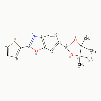 CC1(C)OB(c2ccc3nc(-c4cccs4)oc3c2)OC1(C)C